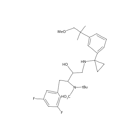 COCC(C)(C)c1cccc(C2(NCC(O)C(Cc3cc(F)cc(F)c3)N(C(=O)O)C(C)(C)C)CC2)c1